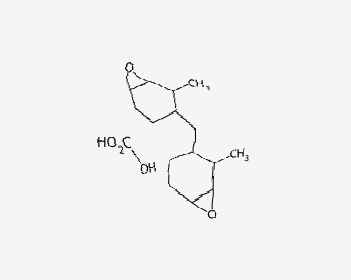 CC1C(CC2CCC3OC3C2C)CCC2OC21.O=C(O)O